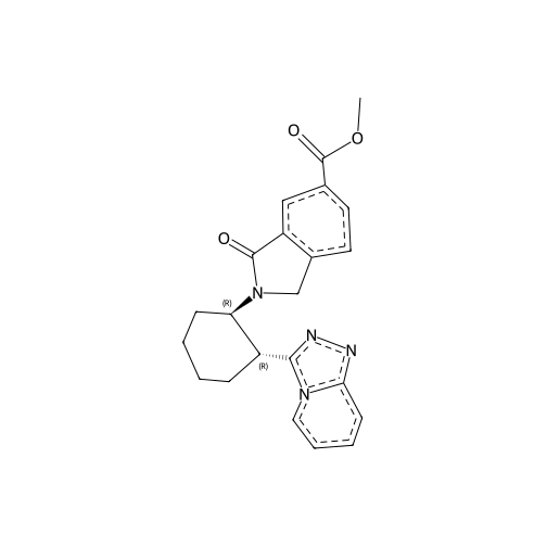 COC(=O)c1ccc2c(c1)C(=O)N([C@@H]1CCCC[C@H]1c1nnc3ccccn13)C2